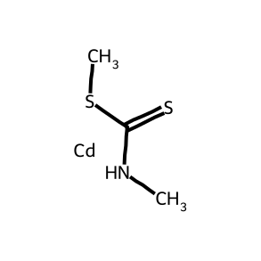 CNC(=S)SC.[Cd]